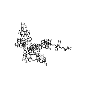 CC(=O)SCCNC(=O)CCNC(=O)[C@H](O)C(C)(C)COP(=O)(O)OP(=O)(O)OC[C@H]1O[C@@H](n2cnc3c(N)ncnc32)[C@H](O)[C@@H]1OP(=O)(O)O.CC1=C2/C=C3/CC[C@@H](C)[C@H](CC[C@]2(C)CC[C@@H]1O)C3(C)C